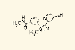 CNC(=O)c1cccc(-c2c(-c3cc(C#N)ccn3)ncn2C)c1